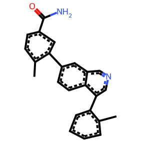 Cc1ccc(C(N)=O)cc1-c1ccc2c(-c3ccccc3C)cncc2c1